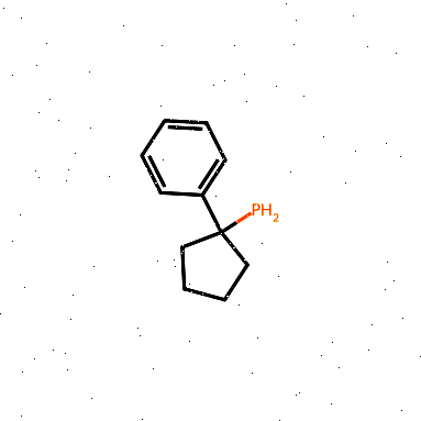 PC1(c2ccccc2)CCCC1